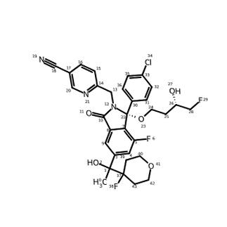 CC(O)(c1cc(F)c2c(c1)C(=O)N(Cc1ccc(C#N)cn1)[C@@]2(OCC[C@H](O)CF)c1ccc(Cl)cc1)C1(F)CCOCC1